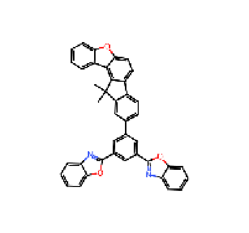 CC1(C)c2cc(-c3cc(-c4nc5ccccc5o4)cc(-c4nc5ccccc5o4)c3)ccc2-c2ccc3oc4ccccc4c3c21